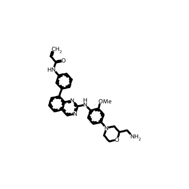 C=CC(=O)Nc1cccc(-c2cccc3cnc(Nc4ccc(N5CCOC(CN)C5)cc4OC)nc23)c1